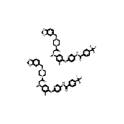 Cc1cc(N(C)CC(=O)N2CCN(Cc3ccc4c(c3)OCO4)CC2)ccc1Oc1ccc(NC(=O)c2ccc(C(F)(F)F)cc2)cn1.Cc1cc(N(C)CC(=O)N2CCN(Cc3ccc4c(c3)OCO4)CC2)ccc1Oc1ccc(NC(=O)c2ccc(C(F)(F)F)cc2)cn1